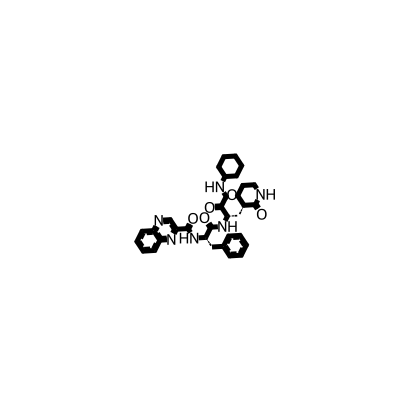 O=C(NC1CCCCC1)C(=O)[C@H](C[C@@H]1CCCNC1=O)NC(=O)[C@H](Cc1ccccc1)NC(=O)c1cnc2ccccc2n1